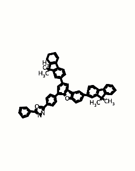 CC1(C)C2=C(C=CCC2)c2ccc(-c3cc(-c4ccc(-c5nnc(-c6ccccc6)o5)cc4)c4oc5ccc(-c6ccc7c(c6)C(C)(C)c6ccccc6-7)cc5c4c3)cc21